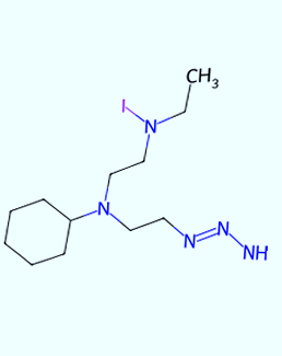 CCN(I)CCN(CCN=NN)C1CCCCC1